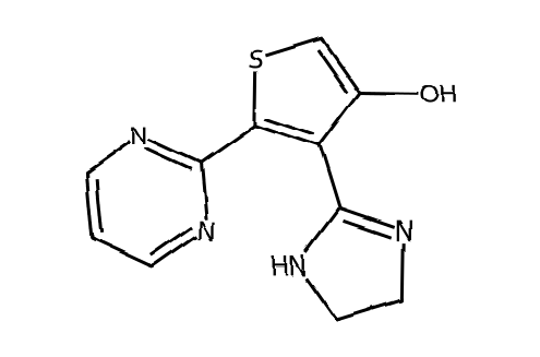 Oc1csc(-c2ncccn2)c1C1=NCCN1